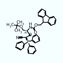 CC(C)(C)OC[C@@H](NC(=O)OCC1c2ccccc2-c2ccccc21)C(=O)C(C#N)=P(c1ccccc1)(c1ccccc1)c1ccccc1